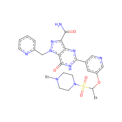 CCC(Oc1cncc(-c2nc3c(C(N)=O)nn(Cc4ccccn4)c3c(=O)[nH]2)c1)S(=O)(=O)N1CCN(CC)CC1